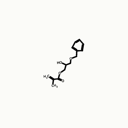 C=C(C)C(=O)OCC(O)COCc1ccccc1